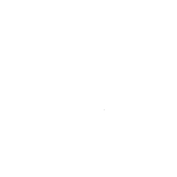 CCOc1cccc2c1CCN(C)C2